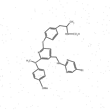 CCc1cnc(NCc2cc(Oc3ccc(CC(C)NC(=O)O)cc3)nc(N(C)c3ccc(OC)cc3)c2)nc1